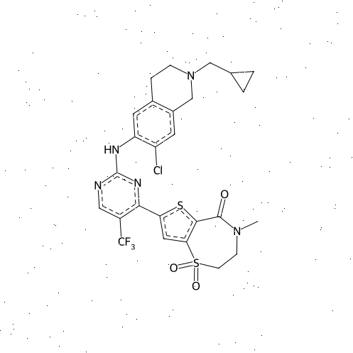 CN1CCS(=O)(=O)c2cc(-c3nc(Nc4cc5c(cc4Cl)CN(CC4CC4)CC5)ncc3C(F)(F)F)sc2C1=O